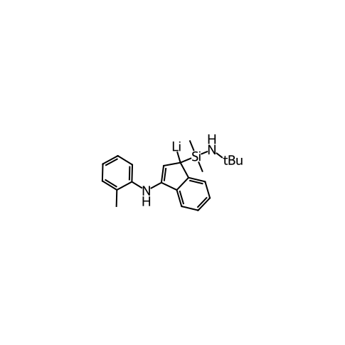 [Li][C]1([Si](C)(C)NC(C)(C)C)C=C(Nc2ccccc2C)c2ccccc21